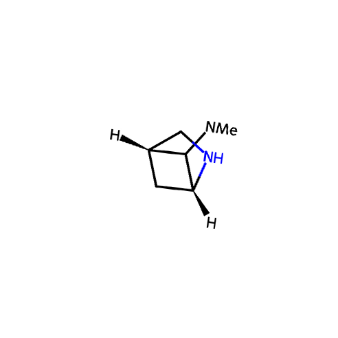 CNC1[C@H]2CN[C@@H]1C2